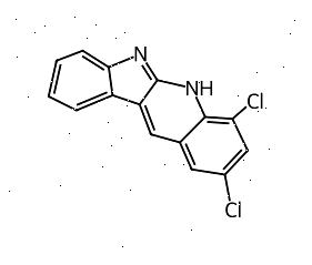 Clc1cc(Cl)c2[nH]c3nc4ccccc4c-3cc2c1